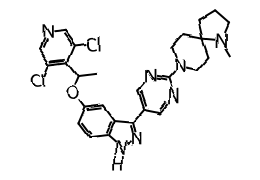 CC(Oc1ccc2[nH]nc(-c3cnc(N4CCC5(CCCN5C)CC4)nc3)c2c1)c1c(Cl)cncc1Cl